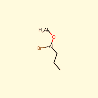 CC[CH2][Al]([Br])[O][AlH2]